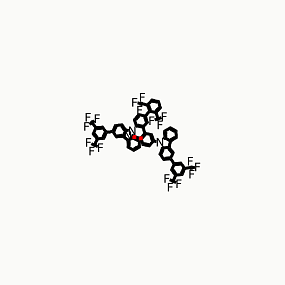 N#Cc1ccc(-n2c3ccccc3c3cc(-c4cc(C(F)(F)F)cc(C(F)(F)F)c4)ccc32)cc1-c1cc(-c2c(C(F)(F)F)cccc2C(F)(F)F)ccc1-n1c2ccccc2c2cc(-c3cc(C(F)(F)F)cc(C(F)(F)F)c3)ccc21